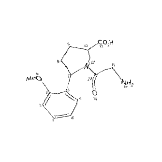 COc1ccccc1C1CCC(C(=O)O)N1C(=O)CN